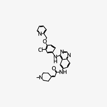 CN1CCC(=CC(=O)Nc2ccc3ncnc(Nc4ccc(OCc5ccccn5)c(Cl)c4)c3c2)CC1